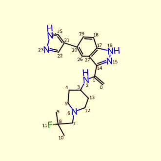 C=C(NC1CCN(CC(C)(C)F)CC1)c1n[nH]c2ccc(-c3cn[nH]c3)cc12